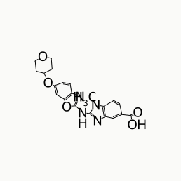 Cn1c(Nc2nc3ccc(OC4CCOCC4)cc3o2)nc2cc(C(=O)O)ccc21